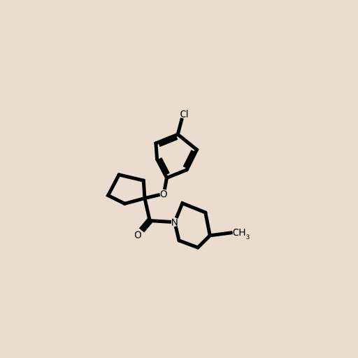 CC1CCN(C(=O)C2(Oc3ccc(Cl)cc3)CCCC2)CC1